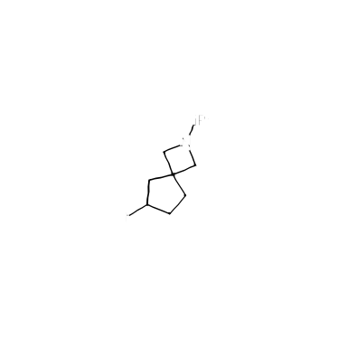 CC(C)N1CC2(CCC(I)C2)C1